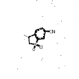 C[C@H]1CS(=O)(=O)c2cc(C#N)ccc21